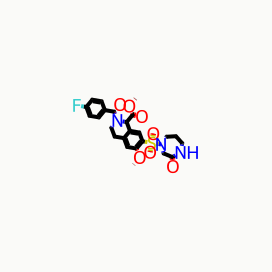 COC(=O)C1c2cc(S(=O)(=O)N3CCCNC(=O)C3)c(OC)cc2CCN1C(=O)c1ccc(F)cc1